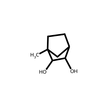 CC12CCC(C1)C(O)C2O